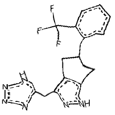 FC(F)(F)c1ccccc1C1Cc2[nH]nc(-c3nnn[nH]3)c2C1